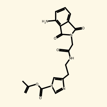 C=C(C)OC(=O)n1cnc(CCNC(=O)CN2C(=O)c3cccc(N)c3C2=O)c1